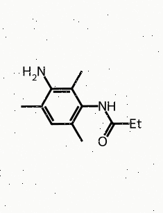 CCC(=O)Nc1c(C)cc(C)c(N)c1C